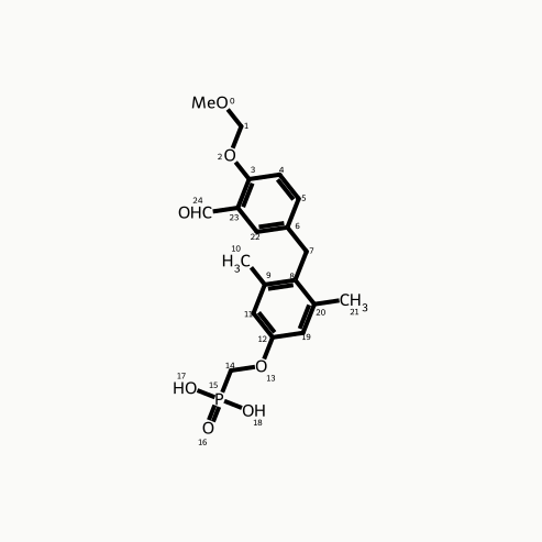 COCOc1ccc(Cc2c(C)cc(OCP(=O)(O)O)cc2C)cc1C=O